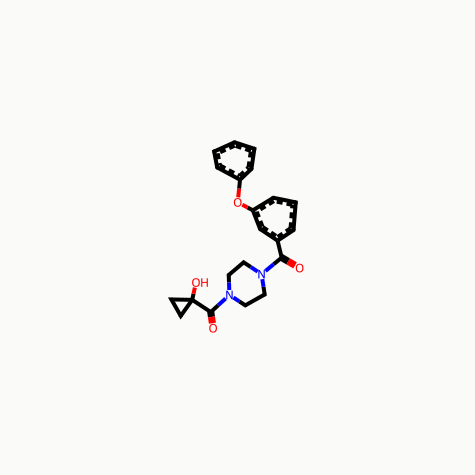 O=C(c1cccc(Oc2ccccc2)c1)N1CCN(C(=O)C2(O)CC2)CC1